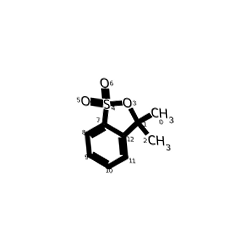 CC1(C)OS(=O)(=O)c2ccccc21